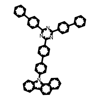 c1ccc(-c2ccc(-c3nc(-c4ccc(-c5ccccc5)cc4)nc(-c4ccc(-c5ccc(-n6c7ccccc7c7ccc8ccccc8c76)cc5)cc4)n3)cc2)cc1